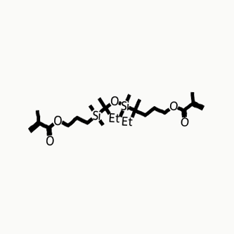 C=C(C)C(=O)OCCCC(C)(CC)[Si](C)(C)OC(C)(CC)[Si](C)(C)CCCOC(=O)C(=C)C